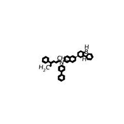 C=C/C(=C\C=C(/C)N(c1ccc(-c2ccccc2)cc1)c1ccc2cc([C@H]3CCC4=C(C3)[C@@H]3C=CC=CC3B4)ccc2c1)c1ccccc1